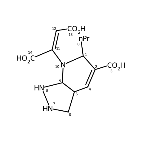 CCCC1C(C(=O)O)=CC2CNNC2N1/C(=C\C(=O)O)C(=O)O